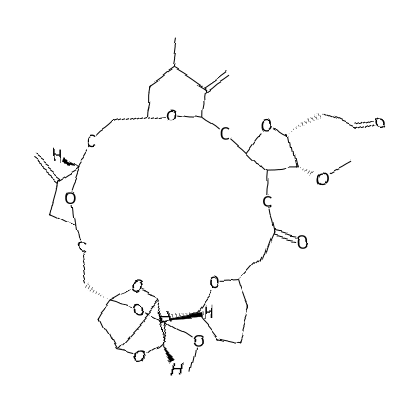 C=C1C(C)CC2CC[C@@H]3OC(CC[C@@]45CC6O[C@@H](C(O4)[C@@H]4CCCC(CC(=O)CC7C(CC1O2)O[C@H](CC=O)[C@@H]7OC)O4)[C@@H](OC)C6O5)CC3=C